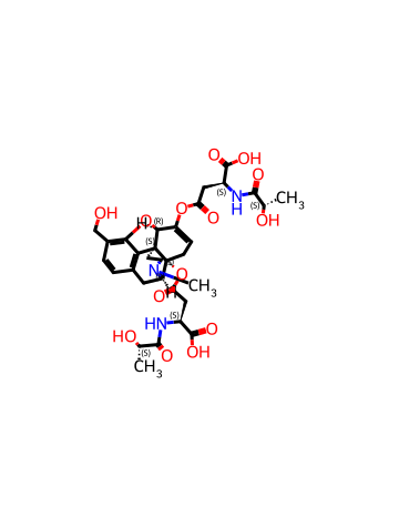 C[C@H](O)C(=O)N[C@@H](CC(=O)OC1=CC[C@@]2(OC(=O)C[C@H](NC(=O)[C@H](C)O)C(=O)O)[C@H]3Cc4ccc(CO)c5c4[C@@]2(CCN3C)[C@H]1O5)C(=O)O